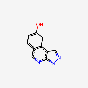 OC1=CC=c2cnc3c(c2C1)C=NN=3